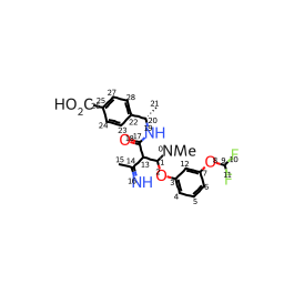 CNC(Oc1cccc(OC(F)F)c1)C(C(C)=N)C(=O)N[C@@H](C)c1ccc(C(=O)O)cc1